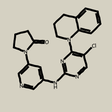 O=C1CCCN1c1cncc(Nc2ncc(Cl)c(N3CCCc4ccccc43)n2)c1